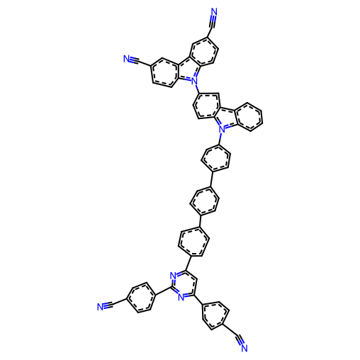 N#Cc1ccc(-c2cc(-c3ccc(-c4ccc(-c5ccc(-n6c7ccccc7c7cc(-n8c9ccc(C#N)cc9c9cc(C#N)ccc98)ccc76)cc5)cc4)cc3)nc(-c3ccc(C#N)cc3)n2)cc1